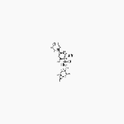 Cc1cc(N2CCOCC2)cc(C(C)C)c1C(=O)NCc1ccc(F)cc1